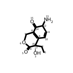 CC[C@@]1(O)C(=O)OCC2=C1C=CC(N)C2=O